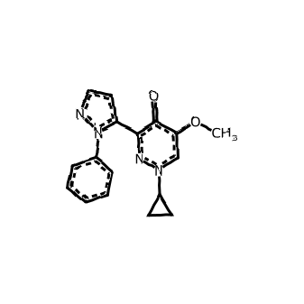 COc1cn(C2CC2)nc(-c2ccnn2-c2ccccc2)c1=O